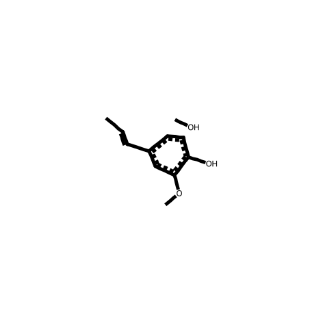 CC=Cc1ccc(O)c(OC)c1.CO